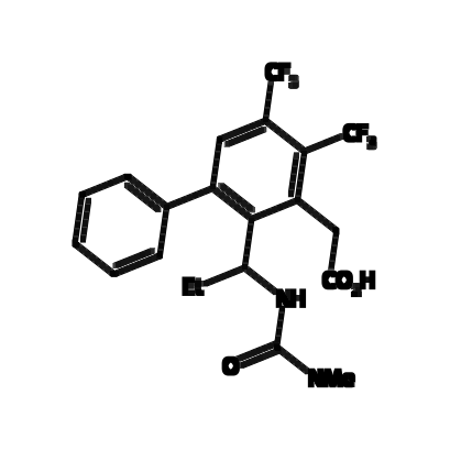 CCC(NC(=O)NC)c1c(-c2ccccc2)cc(C(F)(F)F)c(C(F)(F)F)c1CC(=O)O